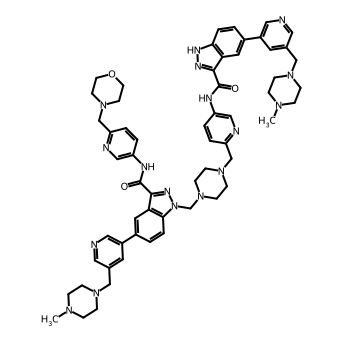 CN1CCN(Cc2cncc(-c3ccc4[nH]nc(C(=O)Nc5ccc(CN6CCN(Cn7nc(C(=O)Nc8ccc(CN9CCOCC9)nc8)c8cc(-c9cncc(CN%10CCN(C)CC%10)c9)ccc87)CC6)nc5)c4c3)c2)CC1